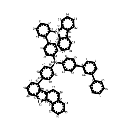 c1ccc(-c2cccc(-c3ccc(N(c4ccc(-c5ccccc5-n5c6ccccc6c6ccccc65)cc4)c4ccc(-c5cccc6oc7c8ccccc8ccc7c56)cc4)cc3)c2)cc1